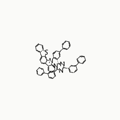 c1ccc(-c2cccc(-c3nc(-c4cccc(-c5ccccc5)c4)nc(-c4cc(-c5ccccc5)ccc4-n4c5ccccc5c5ccc6c7ccccc7sc6c54)n3)c2)cc1